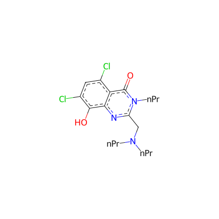 CCCN(CCC)Cc1nc2c(O)c(Cl)cc(Cl)c2c(=O)n1CCC